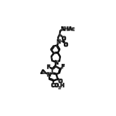 CC(=O)NCC1CN(c2ccc3c(c2)CCN(c2c(F)cc4c(=O)c(C(=O)O)cn(C5CC5)c4c2F)CC3)C(=O)O1